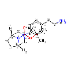 CC(C)(C)OC(=O)N1[C@@H]2CC[C@H]1CN(c1ccc(CCN)cc1)C2